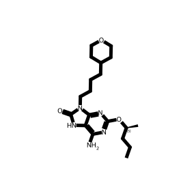 CCC[C@H](C)Oc1nc(N)c2[nH]c(=O)n(CCCCC3CCOCC3)c2n1